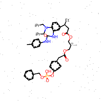 CCC(CC(=O)OC[C@H](C)COC(=O)Cc1ccc(OP(=O)(O)OCc2ccccc2)cc1)c1ccc(N(CC(C)C)CC(C)C)c(NC(=O)Nc2ccc(C)cc2)c1